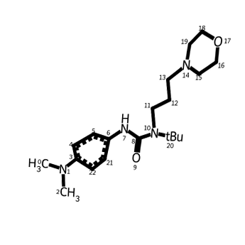 CN(C)c1ccc(NC(=O)N(CCCN2CCOCC2)C(C)(C)C)cc1